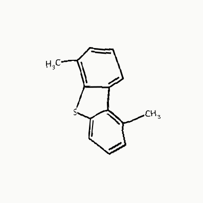 Cc1cccc2c1sc1cccc(C)c12